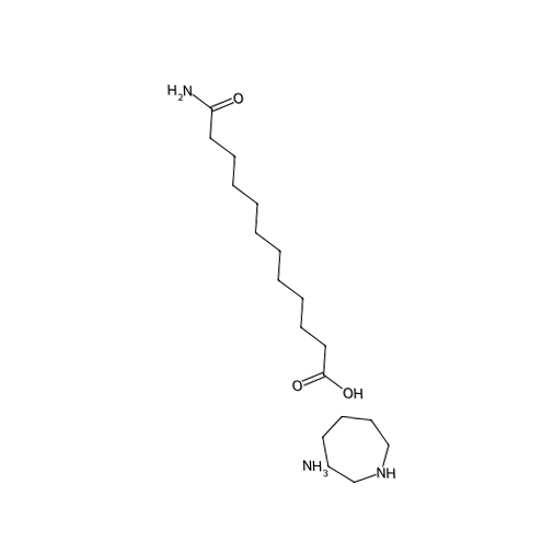 C1CCCNCC1.N.NC(=O)CCCCCCCCCCC(=O)O